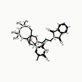 Cc1cn([C@@H]2OC34CO[Si](C(C)C)(C(C)C)O[Si](C(C)C)(C(C)C)OC3C2ON(CCCN2C(=O)c3ccccc3C2=O)C4)c(=O)[nH]c1=O